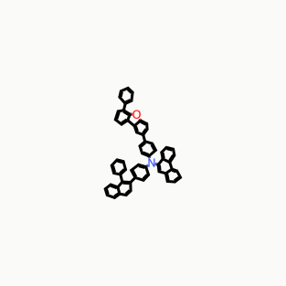 c1ccc(-c2c(-c3ccc(N(c4ccc(-c5ccc6oc7c(-c8ccccc8)cccc7c6c5)cc4)c4cc5ccccc5c5ccccc45)cc3)ccc3ccccc23)cc1